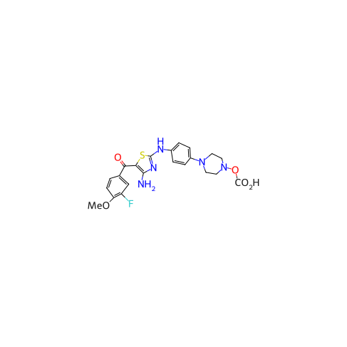 COc1ccc(C(=O)c2sc(Nc3ccc(N4CCN(OC(=O)O)CC4)cc3)nc2N)cc1F